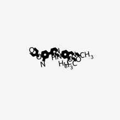 COc1cc(Nc2nccc(-c3ccc(OC4CCOCC4)c(C#N)c3)n2)ccc1CN1C[C@@H](C)O[C@@H](C)C1